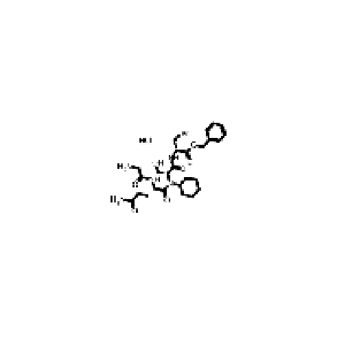 CC(C)C[C@H](NC(=O)[C@H](CO)N(C(=O)[C@H](CCC(N)=O)NC(=O)CN)C1CCCCC1)C(=O)OCc1ccccc1.Cl